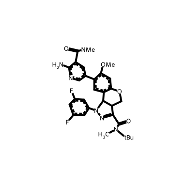 CNC(=O)c1cc(-c2cc3c(cc2OC)OCC2C(C(=O)N(C)C(C)(C)C)=NN(c4cc(F)cc(F)c4)C32)cnc1N